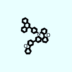 c1cc(-c2ccc3oc4ccccc4c3c2)cc(N(c2ccc(-c3cc4ccccc4c4ccccc34)cc2)c2cccc3oc4ccccc4c23)c1